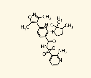 Cc1noc(C)c1-c1ccc(C(=O)NS(=O)(=O)c2cccnc2N)c(N2CCC(C)C2(C)C)n1